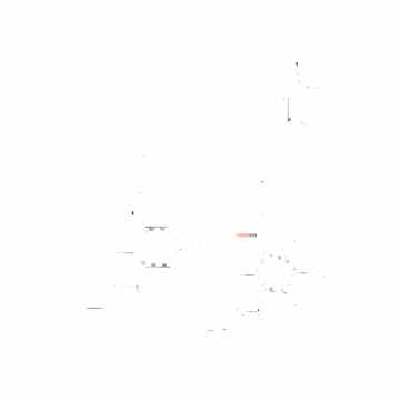 Nc1c(I)c(C(=O)NCCO)c(I)c(C(=O)NCC(O)CO)c1I.Nc1c(I)c(C(=O)NCCO)c(I)c(C(=O)NCC(O)CO)c1I.O=C(O)C(O)C(O)C(=O)O